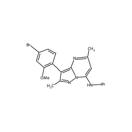 COc1cc(Br)ccc1-c1c(C)nn2c(NC(C)C)cc(C)nc12